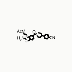 CC(=O)N(C)CCN(C(N)=O)c1cc(C(=O)N2CCC(c3ccc(C#N)cc3)CC2)ccc1C